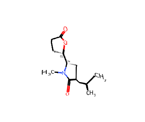 CC(C)C1C[C@@H]([C@@H]2CCC(=O)O2)N(C)C1=O